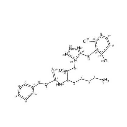 NCCCCC(NC(=O)OCc1ccccc1)C(=O)Cn1nnnc1Sc1c(Cl)cccc1Cl